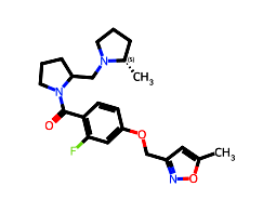 Cc1cc(COc2ccc(C(=O)N3CCCC3CN3CCC[C@@H]3C)c(F)c2)no1